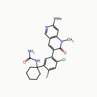 CNc1cc2c(cn1)cc(-c1cc(C3(NC(N)=O)CCCCC3)c(F)cc1Cl)c(=O)n2C